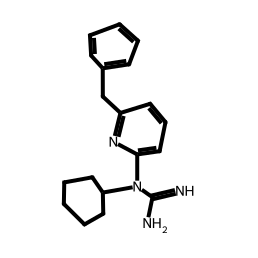 N=C(N)N(c1cccc(Cc2ccccc2)n1)C1CCCCC1